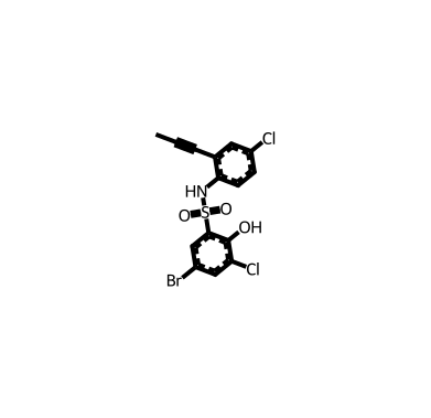 CC#Cc1cc(Cl)ccc1NS(=O)(=O)c1cc(Br)cc(Cl)c1O